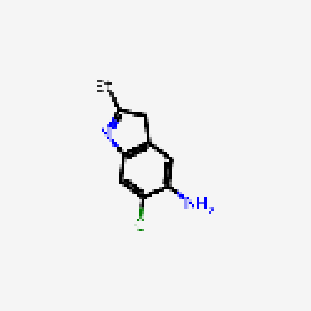 CCC1=Nc2cc(Cl)c(N)cc2C1